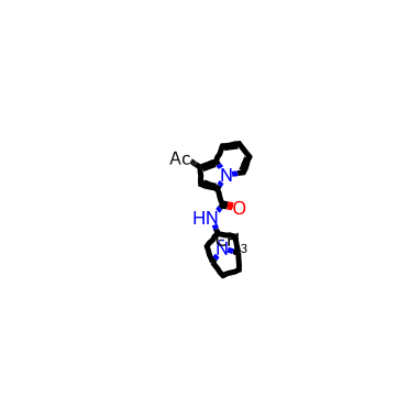 CC(=O)c1cc(C(=O)NC2CC3CCC(C2)N3C)n2ccccc12